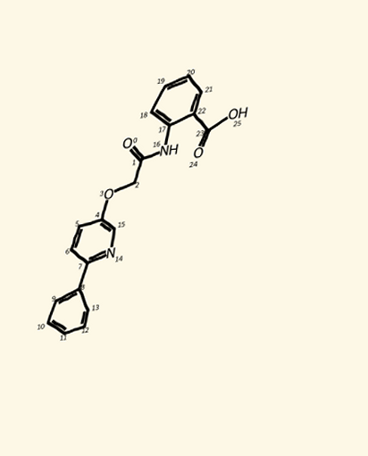 O=C(COc1ccc(-c2ccccc2)nc1)Nc1ccccc1C(=O)O